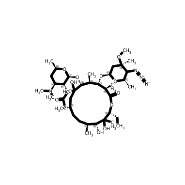 CC[C@H]1OC(=O)[C@H](C)[C@@H](O[C@H]2C[C@@](C)(OC)C(N=[N+]=[N-])[C@H](C)O2)[C@H](C)[C@@H](O[C@@H]2O[C@H](C)C[C@H](N(C)C)[C@H]2OC(C)=O)C(C)(O)C[C@@H](C)CC[C@H](C)[C@@H](O)C1(C)O